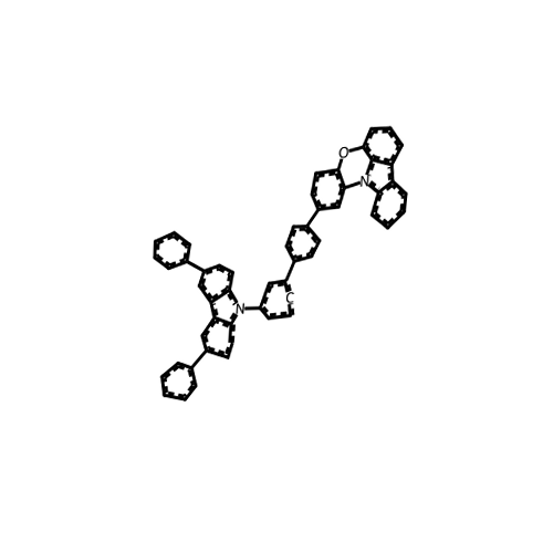 c1ccc(-c2ccc3c(c2)c2cc(-c4ccccc4)ccc2n3-c2cccc(-c3ccc(-c4ccc5c(c4)-n4c6ccccc6c6cccc(c64)O5)cc3)c2)cc1